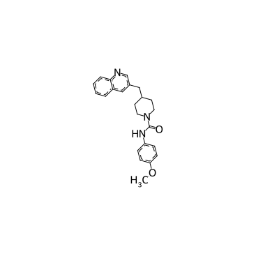 COc1ccc(NC(=O)N2CCC(Cc3cnc4ccccc4c3)CC2)cc1